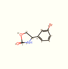 O=C1NC(c2cccc(Br)c2)CO1